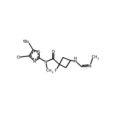 C/N=C\NC1CC(F)(C(=O)N(C)c2nc(Cl)c(C(C)(C)C)s2)C1